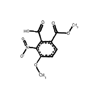 COC(=O)c1ccc(OC)c([N+](=O)[O-])c1C(=O)O